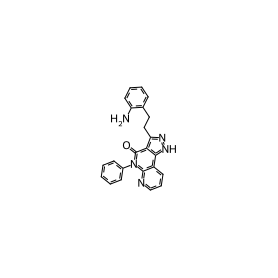 Nc1ccccc1CCc1n[nH]c2c1c(=O)n(-c1ccccc1)c1ncccc21